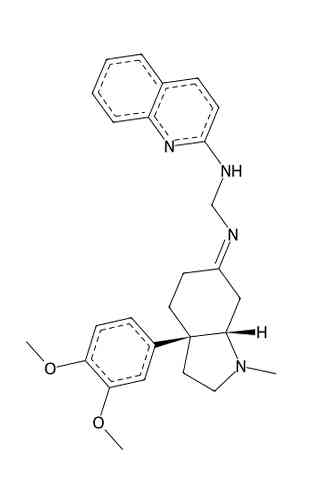 COc1ccc([C@@]23CC/C(=N\CNc4ccc5ccccc5n4)C[C@@H]2N(C)CC3)cc1OC